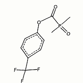 CP(C)(=O)C(=O)Oc1ccc(C(F)(F)F)cc1